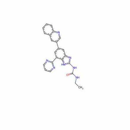 CCNC(=O)Nc1nc2cc(-c3cnc4ccccc4c3)cc(-c3ncccn3)c2[nH]1